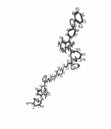 CC1=CC(C)=N/C1=C\c1ccc(CCC(=O)NCCN2CCN(C/C=C/C(=O)N3CCC[C@@H](n4nc(-c5ccc(Oc6ccccc6)cc5)c5c(C)ncnc54)C3)CC2)n1S(C)(F)F